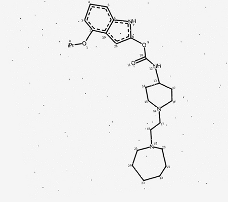 CC(C)Oc1cccc2[nH]c(OC(=O)NC3CCN(CCN4CCCCCC4)CC3)cc12